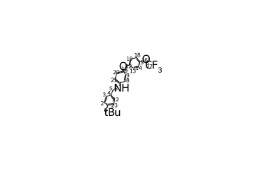 CC(C)(C)c1ccc(CNc2ccc(Oc3ccc(OC(F)(F)F)cc3)cc2)cc1